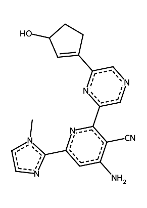 Cn1ccnc1-c1cc(N)c(C#N)c(-c2cncc(C3=CC(O)CC3)n2)n1